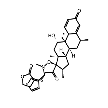 C[C@@H]1C[C@H]2[C@@H]3C[C@H](C)C4=CC(=O)C=C[C@]4(C)[C@@]3(C)[C@@H](O)C[C@]2(C)[C@@]1(ON(C)Cc1ccsc1)C(=O)CSC1CCOC1=O